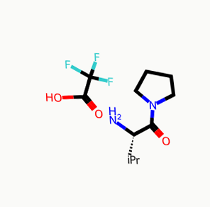 CC(C)[C@H](N)C(=O)N1CCCC1.O=C(O)C(F)(F)F